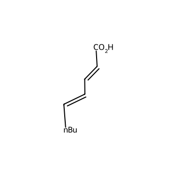 CCCC/C=C/C=CC(=O)O